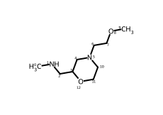 CNCC1CN(CCOC)CCO1